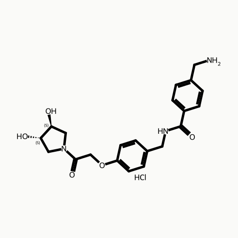 Cl.NCc1ccc(C(=O)NCc2ccc(OCC(=O)N3C[C@H](O)[C@@H](O)C3)cc2)cc1